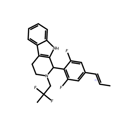 C/C=C/c1cc(F)c(C2c3[nH]c4ccccc4c3CCN2CC(C)(F)F)c(F)c1